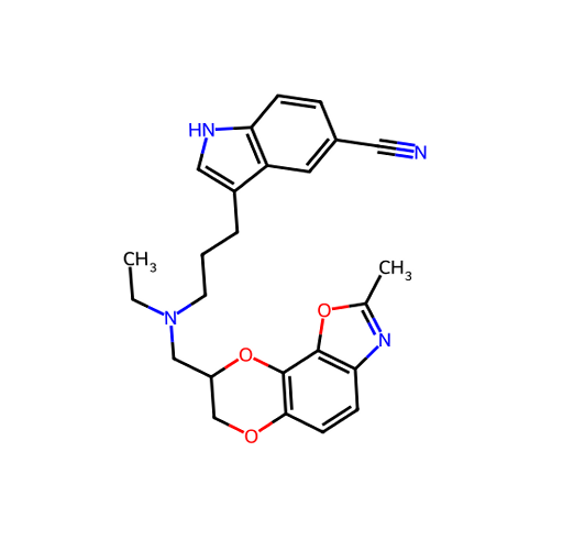 CCN(CCCc1c[nH]c2ccc(C#N)cc12)CC1COc2ccc3nc(C)oc3c2O1